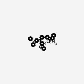 CC1(C)c2cc(-c3cccc(N(c4ccc5c(c4)oc4ccccc45)c4ccc5c(c4)c4ccccc4n5-c4ccccc4)c3)ccc2-c2c1ccc1ccccc21